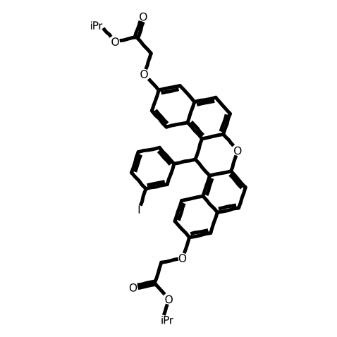 CC(C)OC(=O)COc1ccc2c3c(ccc2c1)Oc1ccc2cc(OCC(=O)OC(C)C)ccc2c1C3c1cccc(I)c1